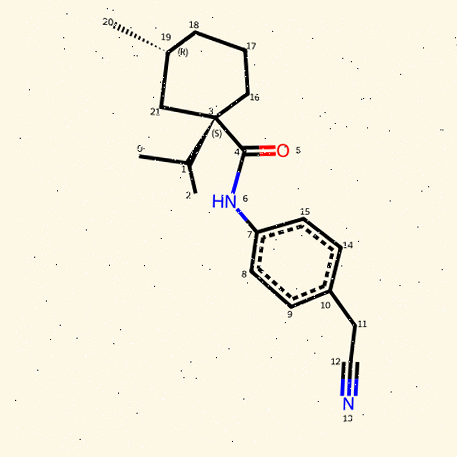 CC(C)[C@]1(C(=O)Nc2ccc(CC#N)cc2)CCC[C@@H](C)C1